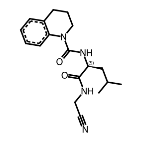 CC(C)C[C@H](NC(=O)N1CCCc2ccccc21)C(=O)NCC#N